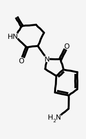 C=C1CCC(N2Cc3cc(CN)ccc3C2=O)C(=O)N1